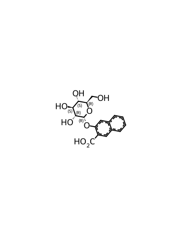 O=C(O)c1cc2ccccc2cc1O[C@H]1O[C@H](CO)[C@@H](O)[C@H](O)[C@H]1O